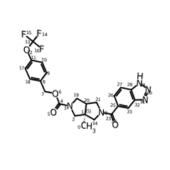 C[C@]12CN(C(=O)OCc3ccc(OC(F)(F)F)cc3)CC1CN(C(=O)c1ccc3[nH]nnc3c1)C2